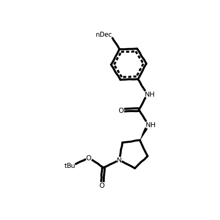 CCCCCCCCCCc1ccc(NC(=O)N[C@H]2CCN(C(=O)OC(C)(C)C)C2)cc1